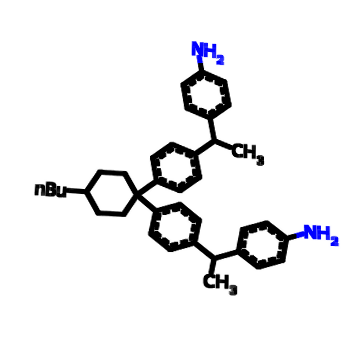 CCCCC1CCC(c2ccc(C(C)c3ccc(N)cc3)cc2)(c2ccc(C(C)c3ccc(N)cc3)cc2)CC1